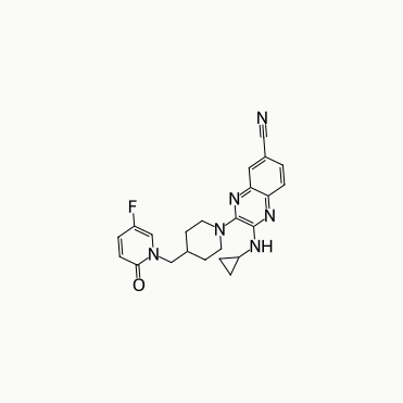 N#Cc1ccc2nc(NC3CC3)c(N3CCC(Cn4cc(F)ccc4=O)CC3)nc2c1